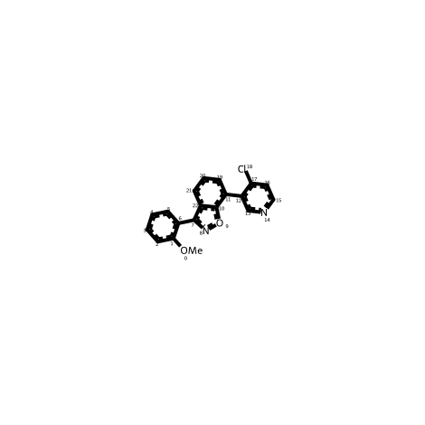 COc1ccccc1-c1noc2c(-c3cnccc3Cl)cccc12